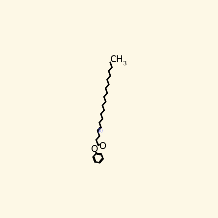 CCCCCCCCCCCCCCCC/C=C/CCC(=O)Oc1ccccc1